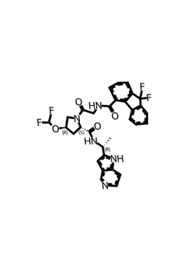 C[C@@H](NC(=O)[C@@H]1C[C@@H](OC(F)F)CN1C(=O)CNC(=O)c1cccc2c1-c1ccccc1C2(F)F)c1cc2cnccc2[nH]1